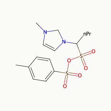 CCCC(N1C=CN(C)C1)S(=O)(=O)OS(=O)(=O)c1ccc(C)cc1